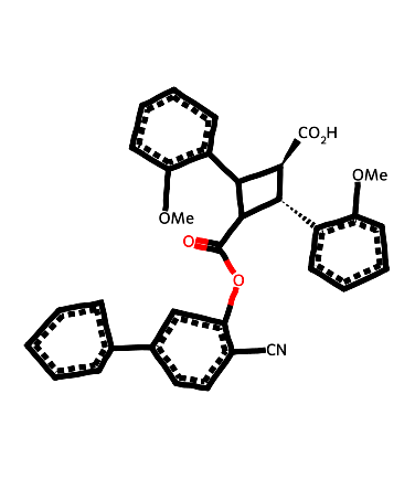 COc1ccccc1C1C(C(=O)Oc2cc(-c3ccccc3)ccc2C#N)[C@@H](c2ccccc2OC)[C@@H]1C(=O)O